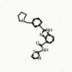 O=C(Nc1nccs1)c1cccc2[nH]c(-c3cccc(CN4CCCC4)c3)nc12